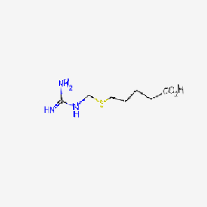 N=C(N)NCSCCCCC(=O)O